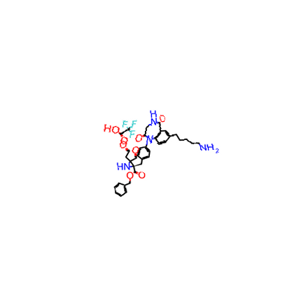 NCCCCCc1ccc2c(c1)C(=O)NCC(=O)N2c1ccc(C[C@@]2(C(=O)OCc3ccccc3)NC2(C=O)CC=O)cc1.O=C(O)C(F)(F)F